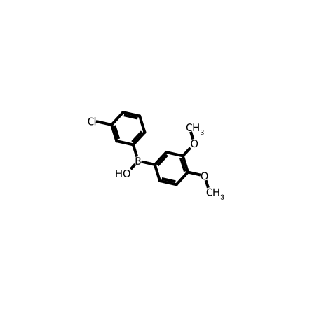 COc1ccc(B(O)c2cccc(Cl)c2)cc1OC